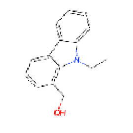 CCn1c2ccccc2c2cccc(CO)c21